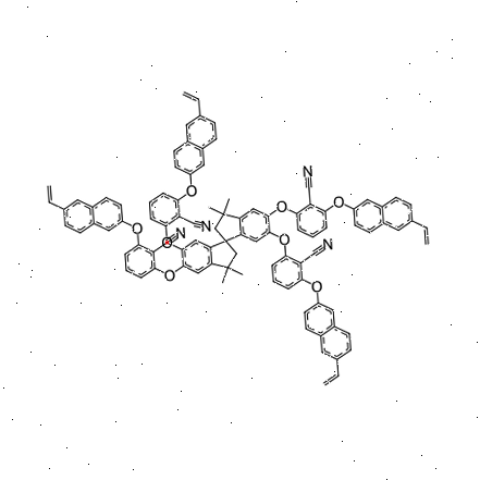 C=Cc1ccc2cc(Oc3cccc(Oc4cc5c(cc4Oc4cccc(Oc6ccc7cc(C=C)ccc7c6)c4C#N)C4(CC5(C)C)CC(C)(C)c5cc(Oc6cccc(Oc7ccc8cc(C=C)ccc8c7)c6C#N)c(Oc6cccc(Oc7ccc8cc(C=C)ccc8c7)c6C#N)cc54)c3C#N)ccc2c1